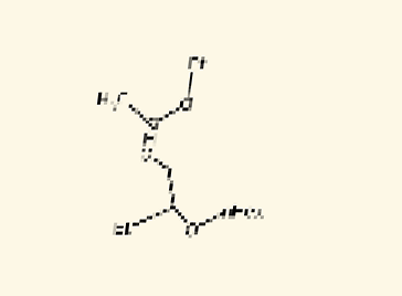 CCCCCCOC(CC)CO[SiH](C)OCC